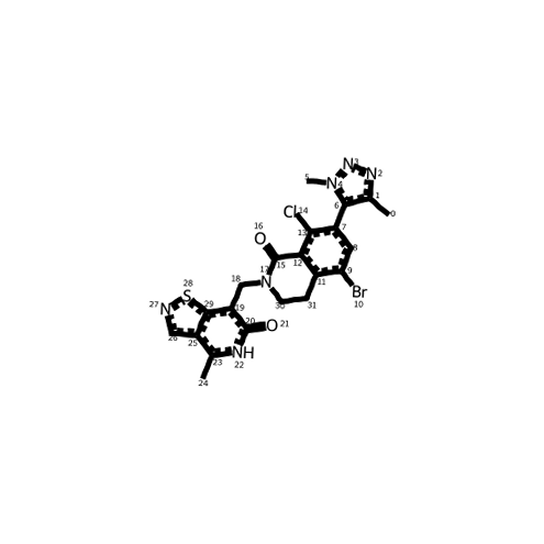 Cc1nnn(C)c1-c1cc(Br)c2c(c1Cl)C(=O)N(Cc1c(=O)[nH]c(C)c3cnsc13)CC2